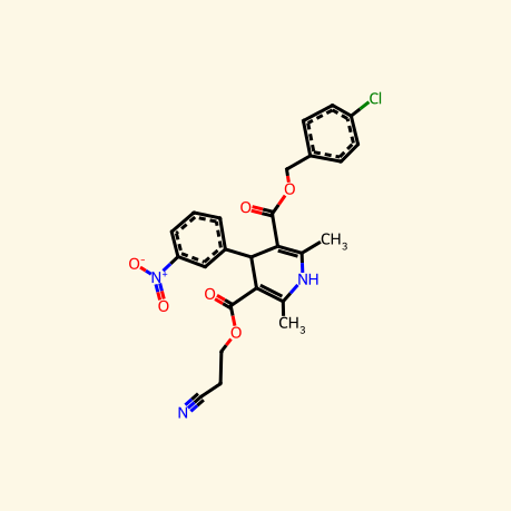 CC1=C(C(=O)OCCC#N)C(c2cccc([N+](=O)[O-])c2)C(C(=O)OCc2ccc(Cl)cc2)=C(C)N1